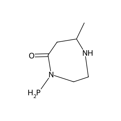 CC1CC(=O)N(P)CCN1